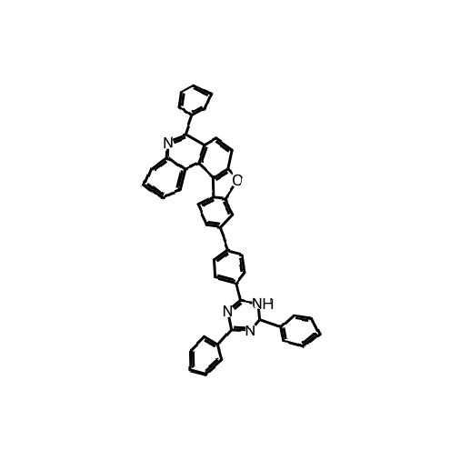 c1ccc(C2=NC(c3ccccc3)NC(c3ccc(-c4ccc5c(c4)oc4ccc6c(-c7ccccc7)nc7ccccc7c6c45)cc3)=N2)cc1